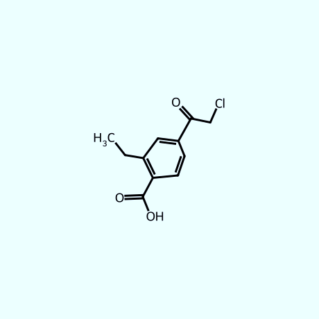 CCc1cc(C(=O)CCl)ccc1C(=O)O